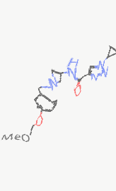 COCCOc1ccc(CN2CC(NC(=O)c3cn(C4CC4)nn3)C2)cc1